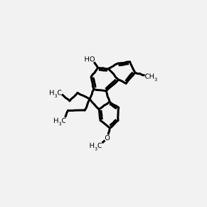 CCCC1(CCC)c2cc(OC)ccc2-c2c1cc(O)c1ccc(C)cc21